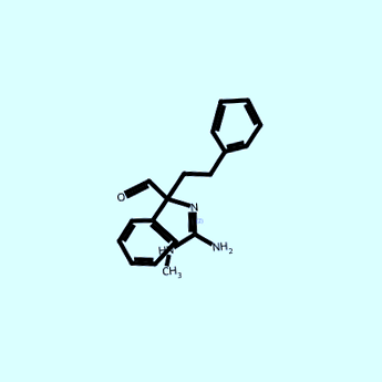 CN/C(N)=N\C(C=O)(CCc1ccccc1)c1ccccc1